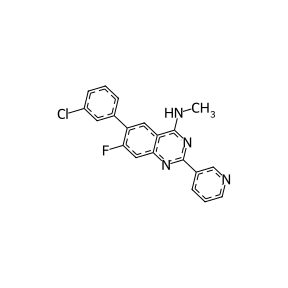 CNc1nc(-c2cccnc2)nc2cc(F)c(-c3cccc(Cl)c3)cc12